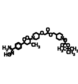 C[C@H](CC(=O)c1ccc(/C(N)=N/O)cc1)C(=O)N1CCC(OCC(=O)OCC2CCN(OC(=O)OC(C)(C)C)CC2)CC1